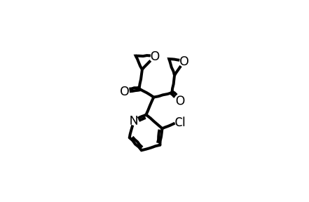 O=C(C1CO1)C(C(=O)C1CO1)c1ncccc1Cl